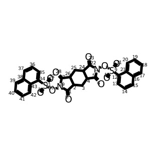 O=C1C2CC3C(=O)N(OS(=O)(=O)c4cccc5ccccc45)C(=O)C3CC2C(=O)N1OS(=O)(=O)c1cccc2ccccc12